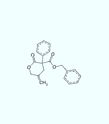 C=C1COC(=O)C(C(=O)OCc2ccccc2)(c2ccccc2)C1